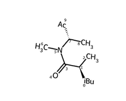 CCC(C)[C@H](C)C(=O)N(C)[C@@H](C)C(C)=O